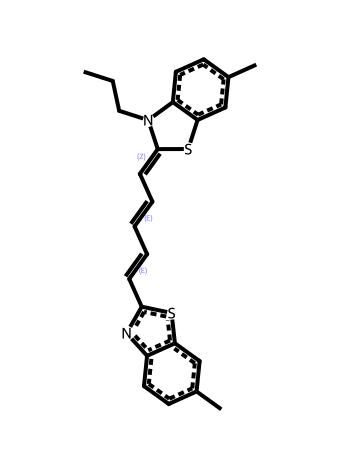 CCCN1/C(=C/C=C/C=C/c2nc3ccc(C)cc3s2)Sc2cc(C)ccc21